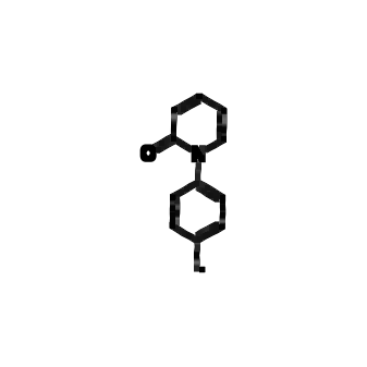 [CH2]c1ccc(-n2ccccc2=O)cc1